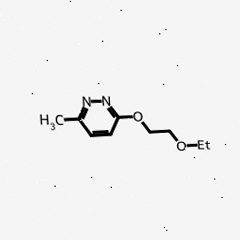 CCOCCOc1ccc(C)nn1